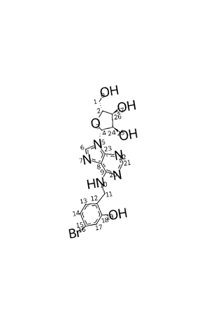 OC[C@H]1O[C@@H](n2cnc3c(NCc4ccc(Br)cc4O)ncnc32)[C@H](O)[C@@H]1O